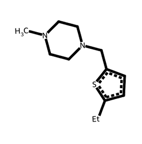 CCc1ccc(CN2CCN(C)CC2)s1